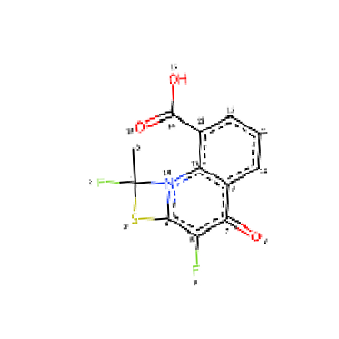 CC1(F)Sc2c(F)c(=O)c3cccc(C(=O)O)c3n21